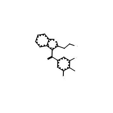 Cc1c(Br)cc(C(=O)c2c(CCO)oc3ccccc23)cc1Br